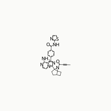 CC#CC(=O)N1C2(c3nc(-c4ccc(C(=O)Nc5nccs5)cc4)c4c(N)nccn34)CCC3CCC312